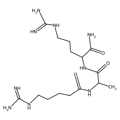 CC(NC(=O)CCCCNC(=N)N)C(=O)NC(CCCNC(=N)N)C(N)=O